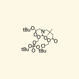 CC(C)(CC(=O)OCCl)CN(CC(=O)OC(C)(C)C)C(=O)OCOP(=O)(OC(C)(C)C)OC(C)(C)C